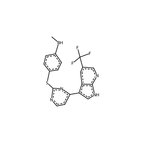 CBc1ccc(Sc2nccc(-c3c[nH]c4ncc(C(F)(F)F)cc34)n2)cc1